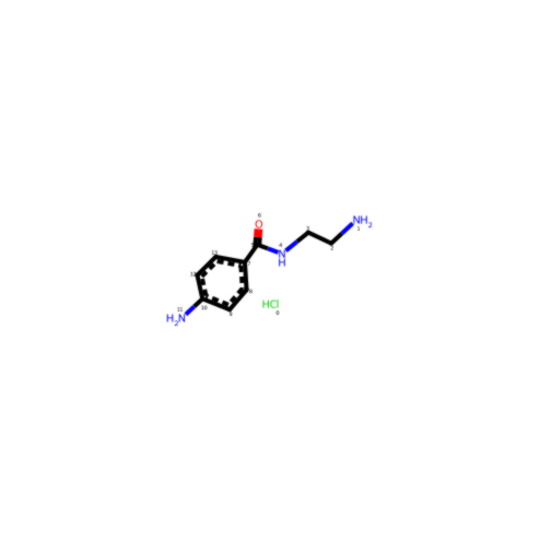 Cl.NCCNC(=O)c1ccc(N)cc1